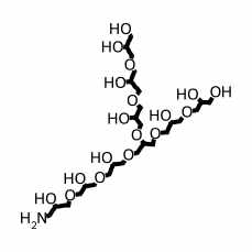 NCC(O)COCC(O)COCC(O)COCC(COCC(O)COCC(O)CO)OCC(O)COCC(O)COCC(O)CO